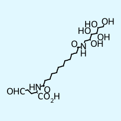 O=CCC[C@H](NC(=O)CCCCCCCCCCC(=O)NC[C@H](O)[C@@H](O)[C@H](O)[C@H](O)CO)C(=O)O